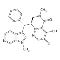 CN1C[C@H]([C@@H](c2ccccc2)c2cn(C)c3cnccc23)n2ncc(=O)c(O)c2C1=O